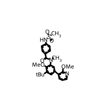 COc1ncccc1-c1cc(N(C)C(=O)c2ccc(NS(C)(=O)=O)cc2)c(OC)c(C(C)(C)C)c1